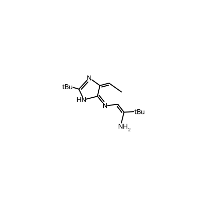 C/C=C1/N=C(C(C)(C)C)N/C1=N/C=C(\N)C(C)(C)C